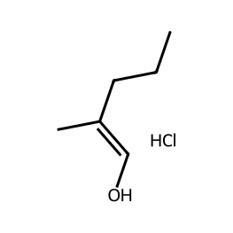 CCCC(C)=CO.Cl